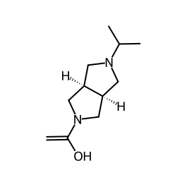 C=C(O)N1C[C@@H]2CN(C(C)C)C[C@@H]2C1